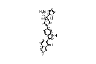 Cn1cc2c(Cl)c(-c3n[nH]c4nc(N5C[C@@H]6[C@H](C5)[C@]6(CN)c5nccs5)cnc34)ccc2n1